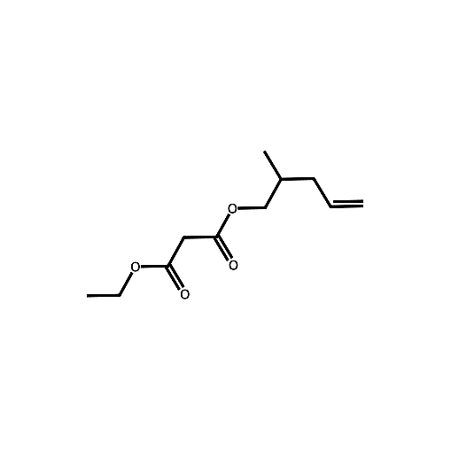 C=CCC(C)COC(=O)CC(=O)OCC